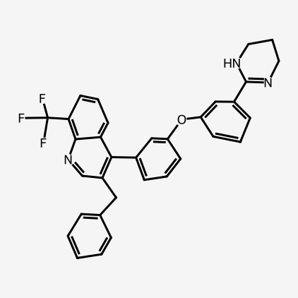 FC(F)(F)c1cccc2c(-c3cccc(Oc4cccc(C5=NCCCN5)c4)c3)c(Cc3ccccc3)cnc12